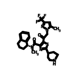 Cc1cc(C(F)(F)F)nn1CC(=O)c1sc(C2CCNCC2)nc1C(=O)N(C)[C@@H]1CCCc2ccccc21